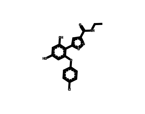 CCNC(=O)c1cc(-c2c(O)cc(O)cc2Oc2ccc(Cl)cc2)on1